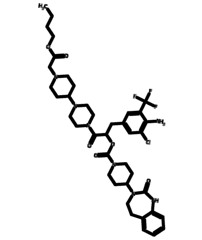 CCCCOC(=O)CN1CCC(N2CCN(C(=O)C(Cc3cc(Cl)c(N)c(C(F)(F)F)c3)OC(=O)N3CCC(N4CCc5ccccc5NC4=O)CC3)CC2)CC1